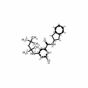 CC(C)(C)CC(C)(C)Nc1cc(C(=O)NC2Cc3ccccc3C2)nc(Cl)n1